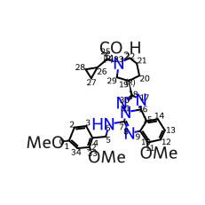 COc1ccc(CNc2nc3c(OC)cccc3c3nc([C@@H]4CCCN([C@@H](C(=O)O)C5CC5)C4)nn23)c(OC)c1